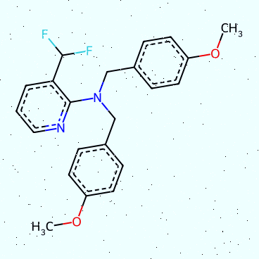 COc1ccc(CN(Cc2ccc(OC)cc2)c2ncccc2C(F)F)cc1